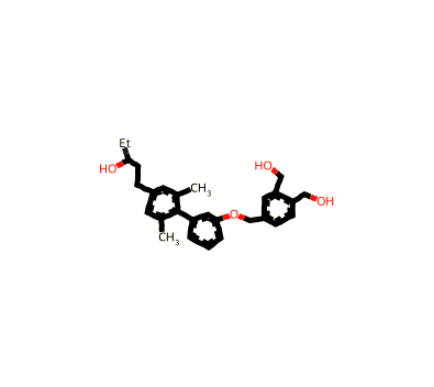 CCC(O)CCc1cc(C)c(-c2cccc(OCc3ccc(CO)c(CO)c3)c2)c(C)c1